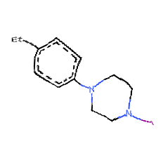 CCc1ccc(N2CCN(I)CC2)cc1